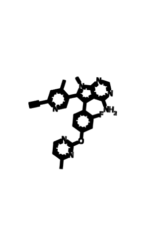 C#Cc1cc(C)c(-c2c(-c3ccc(Oc4nccc(C)n4)cc3F)c3c(N)ncnc3n2C)cn1